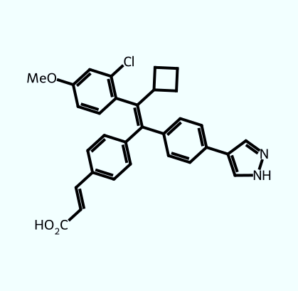 COc1ccc(/C(=C(\c2ccc(/C=C/C(=O)O)cc2)c2ccc(-c3cn[nH]c3)cc2)C2CCC2)c(Cl)c1